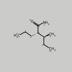 CCC[C@H](C(N)=O)[C@@H](C)CC